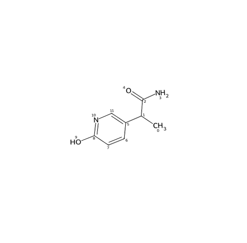 CC(C(N)=O)c1ccc(O)nc1